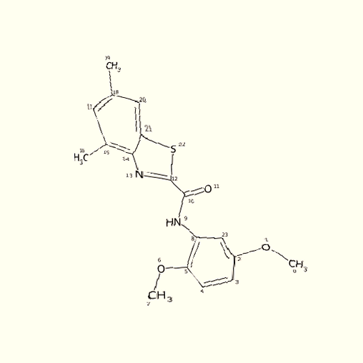 COc1ccc(OC)c(NC(=O)c2nc3c(C)cc(C)cc3s2)c1